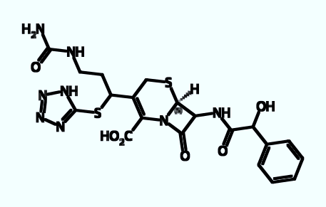 NC(=O)NCCC(Sc1nnn[nH]1)C1=C(C(=O)O)N2C(=O)C(NC(=O)C(O)c3ccccc3)[C@@H]2SC1